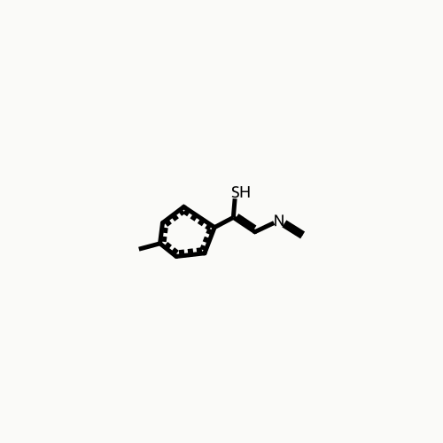 C=N/C=C(\S)c1ccc(C)cc1